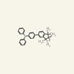 CC1(C)c2ccc(-c3ccc(N(c4ccccc4)c4ccccc4)cc3)cc2C(C)(C)C1(F)F